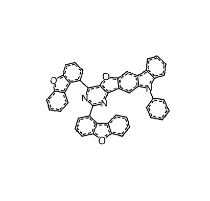 c1ccc(-n2c3ccccc3c3cc4oc5c(-c6cccc7oc8ccccc8c67)nc(-c6cccc7oc8ccccc8c67)nc5c4cc32)cc1